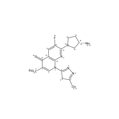 CCOC(=O)c1cn(-c2nnc(C)s2)c2nc(N3CC[C@H](N)C3)c(F)cc2c1=O